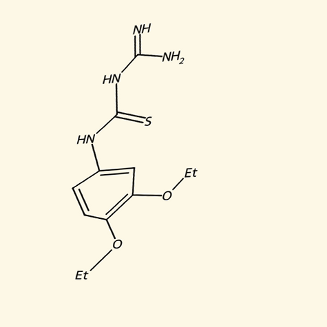 CCOc1ccc(NC(=S)NC(=N)N)cc1OCC